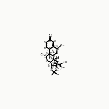 CC1(C)O[C@@H]2C[C@H]3[C@@H]4C[C@H](F)C5=CC(=O)C=C[C@]5(C)[C@@]4(Cl)[C@@H](Cl)C[C@]3(C)[C@]2(C(=O)C(F)F)O1